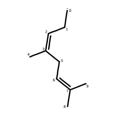 [CH2]CC=C(C)CC=C(C)C